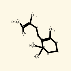 CCOC(=O)C(C#N)=C(C)CCC1=C(C)CCCC1(C)C